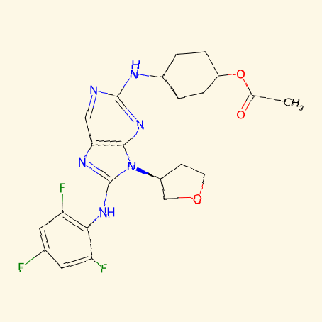 CC(=O)OC1CCC(Nc2ncc3nc(Nc4c(F)cc(F)cc4F)n([C@H]4CCOC4)c3n2)CC1